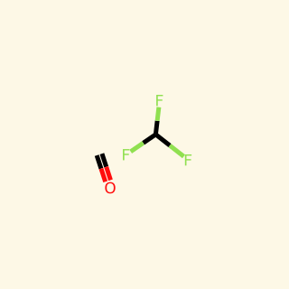 C=O.FC(F)F